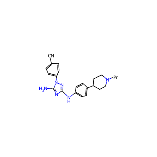 CC(C)N1CCC(c2ccc(Nc3nc(N)n(-c4ccc(C#N)cc4)n3)cc2)CC1